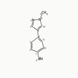 CCC(C)c1ccc(-c2cnn(C)c2)cc1